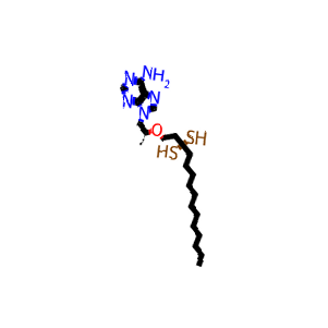 CCCCCCCCCCCCC(S)(S)CCO[C@H](C)Cn1cnc2c(N)ncnc21